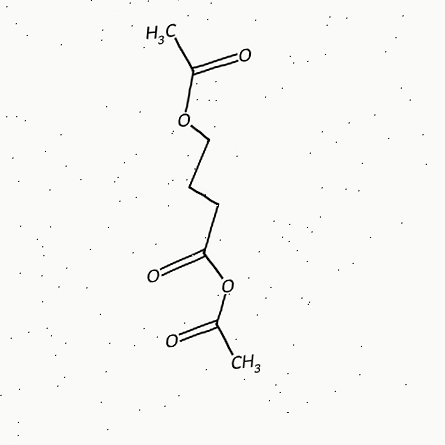 CC(=O)OCCCC(=O)OC(C)=O